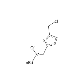 CCCC[S+]([O-])Cc1ccc(CCl)s1